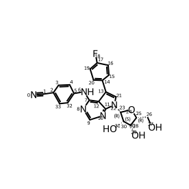 N#Cc1ccc(Nc2ncnc3c2c(-c2ccc(F)cc2)cn3[C@@H]2O[C@H](CO)[C@H](O)[C@@H]2O)cc1